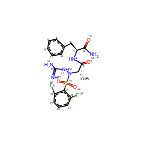 CCC[C@@H](C(=O)N[C@@H](Cc1ccccc1)C(N)=O)N(NC(=N)N)S(=O)(=O)c1c(F)cccc1F